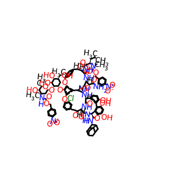 Cc1cc2ccc1Oc1cc3cc(c1O[C@@H]1C[C@H](CO)[C@@H](O)[C@H](O)[C@H]1O[C@H]1C[C@](C)(NC(=O)OCc4ccc([N+](=O)[O-])cc4)[C@H](O)[C@H](C)O1)Oc1ccc(cc1Cl)[C@@H](O)[C@@H]1NC(=O)[C@H](NC(=O)[C@@H]3NC(=O)[C@H](CC(N)=O)NC(=O)[C@H](NC(=O)[C@@H](CC(C)C)N(C)C(=O)OCc3ccc([N+](=O)[O-])cc3)[C@@H]2O)c2ccc(O)c(c2)-c2c(O)cc(O)cc2[C@@H](C(=O)NC2C3CC4CC(C3)CC2C4)NC1=O